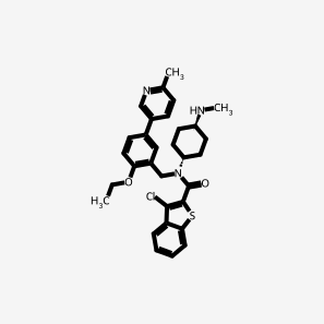 CCOc1ccc(-c2ccc(C)nc2)cc1CN(C(=O)c1sc2ccccc2c1Cl)[C@H]1CC[C@H](NC)CC1